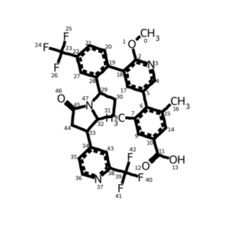 COc1ncc(-c2c(C)cc(C(=O)O)cc2C)cc1-c1ccc(C(F)(F)F)cc1C1CCC2C(c3ccnc(C(F)(F)F)c3)CC(=O)N12